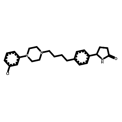 O=C1CCC(c2ccc(CCCCN3CCN(c4cccc(Cl)c4)CC3)cc2)N1